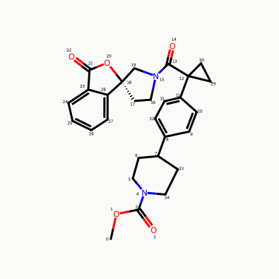 COC(=O)N1CCC(c2ccc(C3(C(=O)N4CC[C@@]5(C4)OC(=O)c4ccccc45)CC3)cc2)CC1